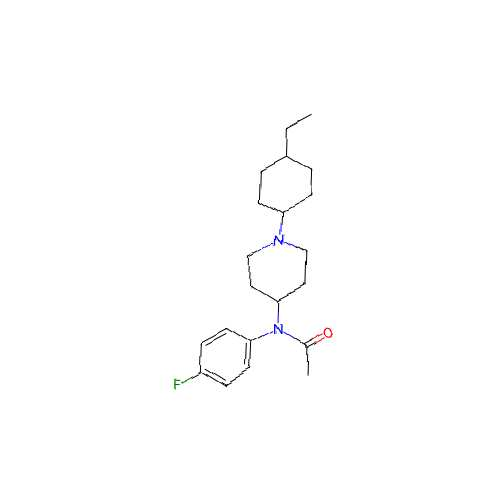 CCC1CCC(N2CCC(N(C(C)=O)c3ccc(F)cc3)CC2)CC1